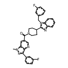 Cn1nc(-c2cccc(F)c2)c2ncc(C(=O)N3CCC(c4nc5ccccc5n4Cc4cccc(F)c4)CC3)cc21